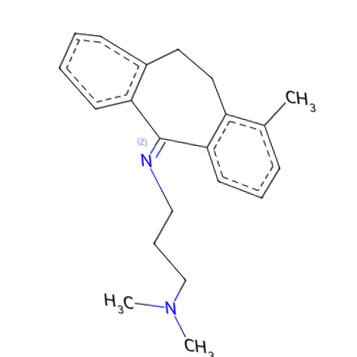 Cc1cccc2c1CCc1ccccc1/C2=N/CCCN(C)C